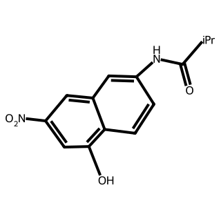 CC(C)C(=O)Nc1ccc2c(O)cc([N+](=O)[O-])cc2c1